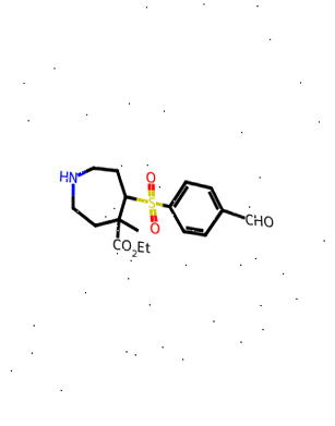 CCOC(=O)C1(C)CCNCCC1S(=O)(=O)c1ccc(C=O)cc1